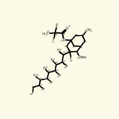 COC1C2CC(C)CC(OC(=O)C(C)(F)F)(C2)CC1(F)C(F)C(F)C(F)C(F)C(F)C(F)C(F)C(F)CF